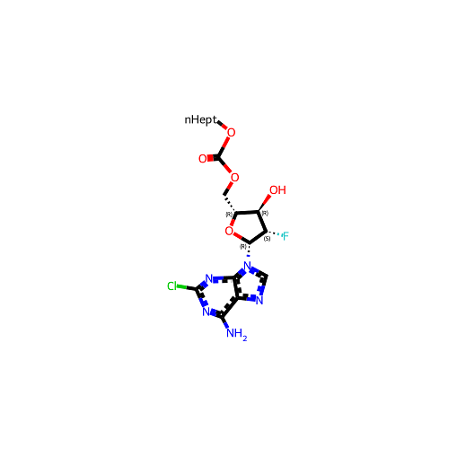 CCCCCCCOC(=O)OC[C@H]1O[C@@H](n2cnc3c(N)nc(Cl)nc32)[C@@H](F)[C@@H]1O